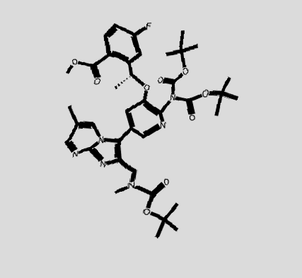 COC(=O)c1ccc(F)cc1[C@@H](C)Oc1cc(-c2c(CN(C)C(=O)OC(C)(C)C)nc3ncc(C)cn23)cnc1N(C(=O)OC(C)(C)C)C(=O)OC(C)(C)C